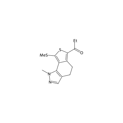 CCC(=O)c1sc(SC)c2c1CCc1cnn(C)c1-2